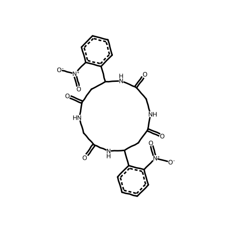 O=C1CC(c2ccccc2[N+](=O)[O-])NC(=O)CNC(=O)CC(c2ccccc2[N+](=O)[O-])NC(=O)CN1